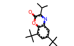 CC(C)c1nc2cc(C(C)(C)C)cc(C(C)(C)C)c2oc1=O